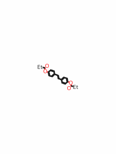 CCC(=O)Oc1ccc(C=Cc2ccc(OC(=O)CC)cc2)cc1